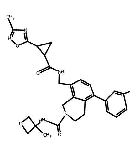 Cc1noc(C2CC2C(=O)NCc2ccc(-c3cccc(C(F)(F)F)c3)c3c2CN(C(=O)NC2(C)COC2)CC3)n1